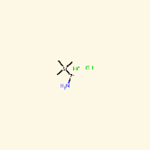 C[Si](C)(C)[Zr][NH2].Cl.Cl